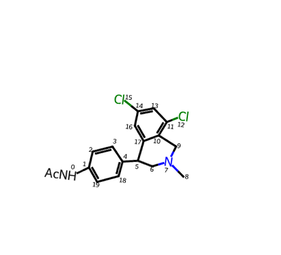 CC(=O)Nc1ccc(C2CN(C)Cc3c(Cl)cc(Cl)cc32)cc1